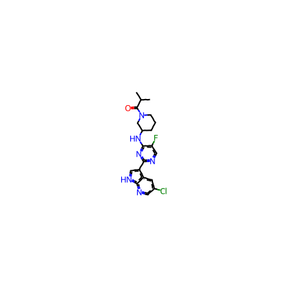 CC(C)C(=O)N1CCCC(Nc2nc(-c3c[nH]c4ncc(Cl)cc34)ncc2F)C1